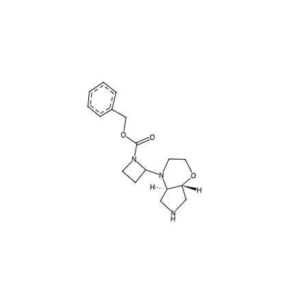 O=C(OCc1ccccc1)N1CCC1N1CCO[C@@H]2CNC[C@H]21